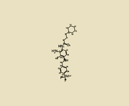 Nc1c(NC(=O)CCCC2CCCCC2)ccc(NCc2ccc(C(F)(F)F)cc2)c1F